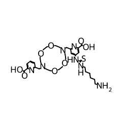 NCCCCCCNC(=S)Nc1cc(CN2CCOCCOCCN(Cc3cccc(C(=O)O)n3)CCOCCOCC2)nc(C(=O)O)c1